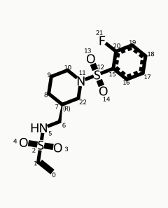 C=CS(=O)(=O)NC[C@H]1CCCN(S(=O)(=O)c2ccccc2F)C1